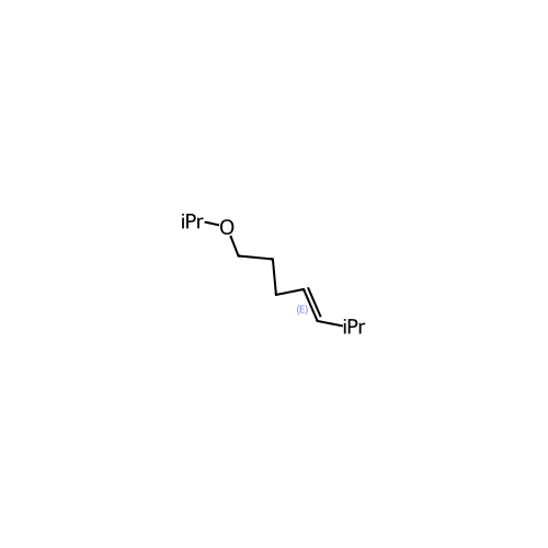 CC(C)/C=C/CCCOC(C)C